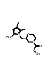 Cc1c(Cl)cc(C(=O)O)n1C[C@@H]1CN(C(=O)OC(C)(C)C)CCO1